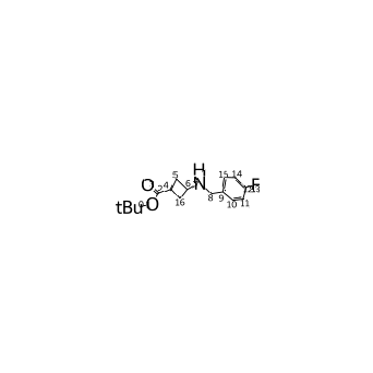 CC(C)(C)OC(=O)C1CC(NCc2ccc(F)cc2)C1